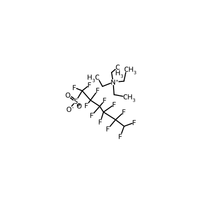 CC[N+](CC)(CC)CC.O=S(=O)([O-])C(F)(F)C(F)(F)C(F)(F)C(F)(F)C(F)(F)C(F)F